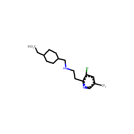 CCOC(=O)CC1CCC(CNCCc2ncc(C(F)(F)F)cc2Br)CC1